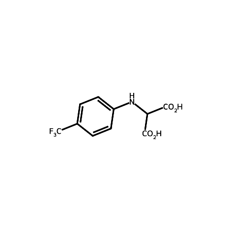 O=C(O)C(Nc1ccc(C(F)(F)F)cc1)C(=O)O